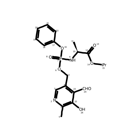 Cc1ncc(COP(=O)(N[C@@H](C)C(=O)OC(C)C)Oc2ccccc2)c(C=O)c1O